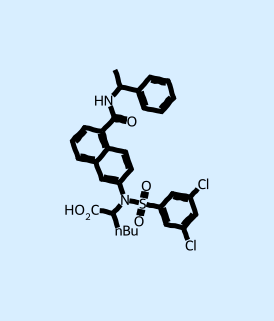 CCCCC(C(=O)O)N(c1ccc2c(C(=O)NC(C)c3ccccc3)cccc2c1)S(=O)(=O)c1cc(Cl)cc(Cl)c1